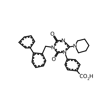 O=C(O)c1ccc(-n2c(N3CCCCC3)nc(=O)n(Cc3ccccc3-c3ccccc3)c2=O)cc1